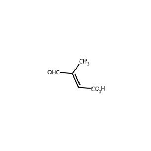 C/C(C=O)=C\C(=O)O